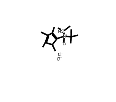 CC1=C(C)C(C)C([N+]([Zr])([SiH](C)C)C(C)(C)C)=C1C.[Cl-].[Cl-]